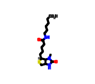 CN1C(=O)NC2CS[C@@H](CCCCC(=O)NCCCCCC(=O)O)C21